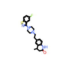 CC1CC(=O)Nc2ccc(CCN3CCN(c4nsc5ccc(F)cc45)CC3)cc21